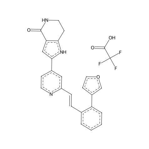 O=C(O)C(F)(F)F.O=C1NCCc2[nH]c(-c3ccnc(C=Cc4ccccc4-c4ccoc4)c3)cc21